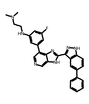 CN(C)CCNc1cc(F)cc(-c2cncc3[nH]c(-c4n[nH]c5ccc(-c6ccccc6)cc45)nc23)c1